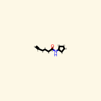 C#CCCCC(=O)NC1CCCC1